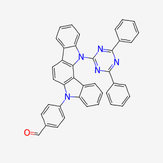 O=Cc1ccc(-n2c3ccccc3c3c2ccc2c4ccccc4n(-c4nc(-c5ccccc5)nc(-c5ccccc5)n4)c23)cc1